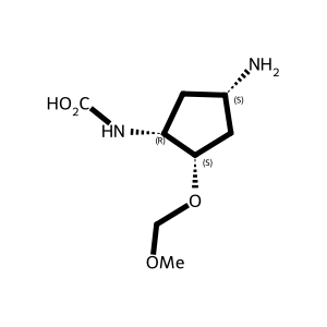 COCO[C@H]1C[C@@H](N)C[C@H]1NC(=O)O